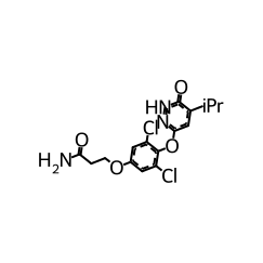 CC(C)c1cc(Oc2c(Cl)cc(OCCC(N)=O)cc2Cl)n[nH]c1=O